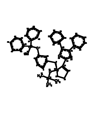 CC(C)(C)[Si](Oc1cccc(C[C@]2(O[Si](C)(C)C)CCC=C2c2nc(-c3ccccc3)c(-c3ccccc3)o2)c1)(c1ccccc1)c1ccccc1